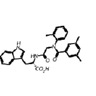 Cc1cc(C)cc(C(=O)N(CC(=O)N[C@@H](Cc2c[nH]c3ccccc23)C(=O)O)c2ccccc2C)c1